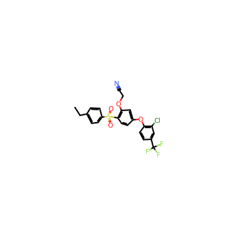 CCc1ccc(S(=O)(=O)c2ccc(Oc3ccc(C(F)(F)F)cc3Cl)cc2OCC#N)cc1